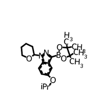 CC(C)Oc1ccc2c(c1)c(B1OC(C)(C)C(C)(C)O1)nn2C1CCCCO1